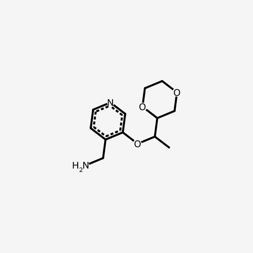 CC(Oc1cnccc1CN)C1COCCO1